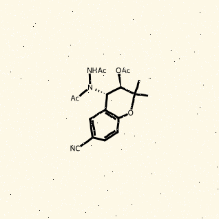 CC(=O)NN(C(C)=O)[C@H]1c2cc(C#N)ccc2OC(C)(C)[C@@H]1OC(C)=O